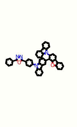 c1ccc(-c2nnc(-c3ccc(-n4c5ccccc5c5cc(-c6c(-n7c8ccccc8c8ccccc87)ccc7c6oc6ccccc67)ccc54)cc3)o2)cc1